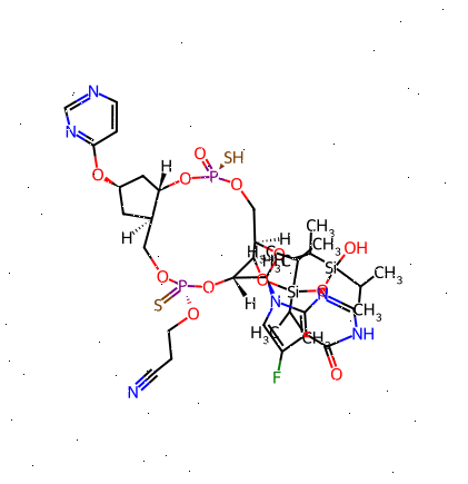 CC(C)[Si](O)(O[Si](O[C@H]1[C@H]2O[P@](=S)(OCCC#N)OC[C@H]3C[C@@H](Oc4ccncn4)C[C@@H]3O[P@@](=O)(S)OC[C@H]1O[C@H]2n1cc(F)c2c(=O)[nH]cnc21)(C(C)C)C(C)C)C(C)C